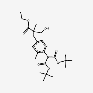 CCOC(=O)C(C)(CO)Cc1cnc(N(C(=O)OC(C)(C)C)C(=O)OC(C)(C)C)c(C)c1